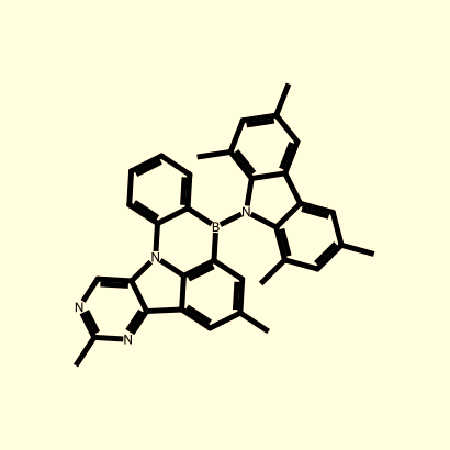 Cc1cc(C)c2c(c1)c1cc(C)cc(C)c1n2B1c2ccccc2-n2c3cnc(C)nc3c3cc(C)cc1c32